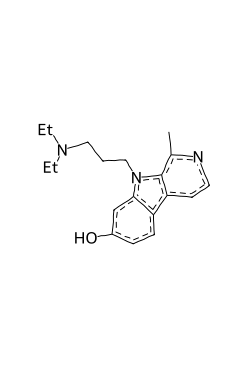 CCN(CC)CCCn1c2cc(O)ccc2c2ccnc(C)c21